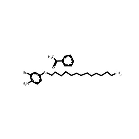 CC(=O)c1ccccc1.CCCCCCCCCCCCCCOc1ccc(N)c(Br)c1